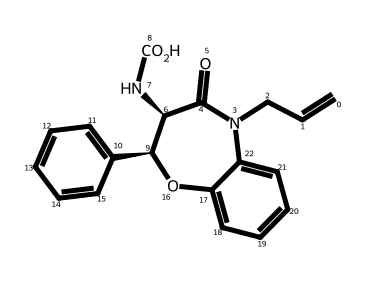 C=CCN1C(=O)[C@H](NC(=O)O)[C@H](c2ccccc2)Oc2ccccc21